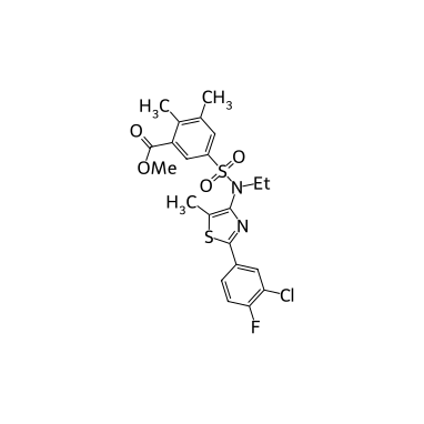 CCN(c1nc(-c2ccc(F)c(Cl)c2)sc1C)S(=O)(=O)c1cc(C)c(C)c(C(=O)OC)c1